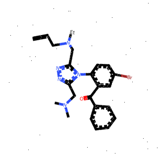 C=CCN(CC)Cc1nnc(CN(C)C)n1-c1ccc(Br)cc1C(=O)c1ccccc1